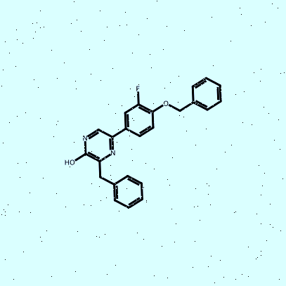 Oc1ncc(-c2ccc(OCc3ccccc3)c(F)c2)nc1Cc1ccccc1